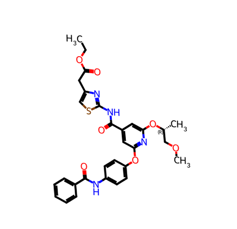 CCOC(=O)Cc1csc(NC(=O)c2cc(Oc3ccc(NC(=O)c4ccccc4)cc3)nc(O[C@H](C)COC)c2)n1